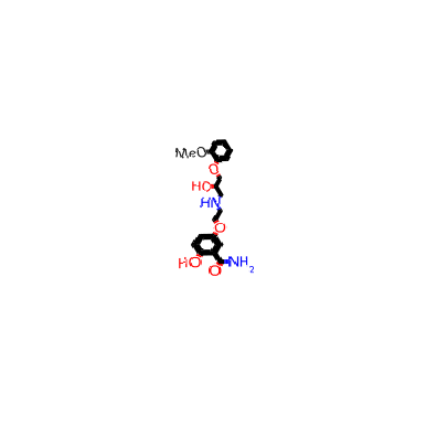 COc1ccccc1OCC(O)CNCCOc1ccc(O)c(C(N)=O)c1